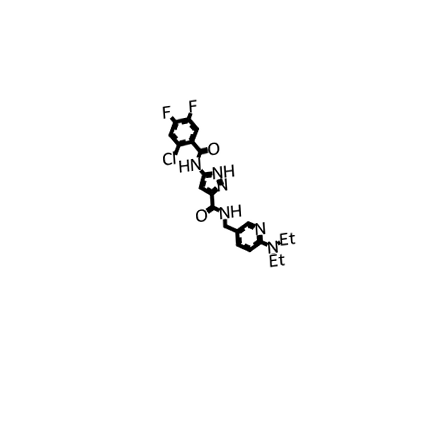 CCN(CC)c1ccc(CNC(=O)c2cc(NC(=O)c3cc(F)c(F)cc3Cl)[nH]n2)cn1